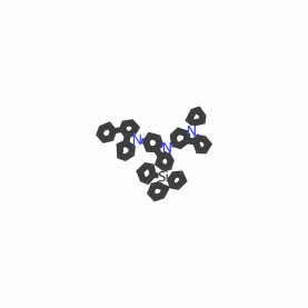 c1ccc(-c2cccc3c2c2ccccc2n3-c2ccc3c(c2)c2cc([Si](c4ccccc4)(c4ccccc4)c4ccccc4)ccc2n3-c2ccc3c(c2)c2ccccc2n3-c2ccccc2)cc1